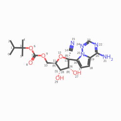 CC(C)C(C)(C)OC(=O)OC[C@H]1O[C@@](C#N)(c2ccc3c(N)ncnn23)[C@H](O)[C@@H]1O